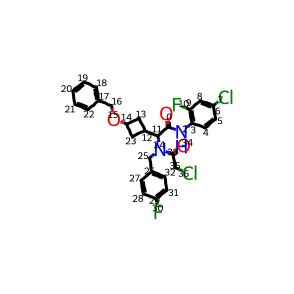 O=C(Nc1ccc(Cl)cc1F)C(C1CC(OCc2ccccc2)C1)N(Cc1ccc(F)cc1)C(=O)CCl